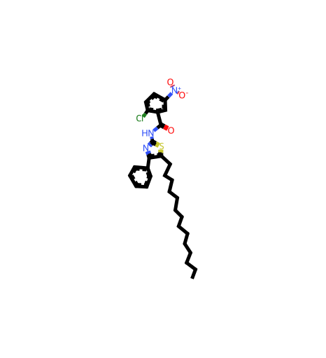 CCCCCCCCCCCCCCc1sc(NC(=O)c2cc([N+](=O)[O-])ccc2Cl)nc1-c1ccccc1